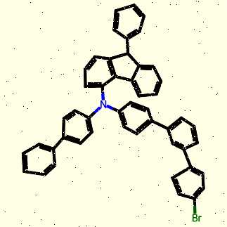 Brc1ccc(-c2cccc(-c3ccc(N(c4ccc(-c5ccccc5)cc4)c4cccc5c4-c4ccccc4C5c4ccccc4)cc3)c2)cc1